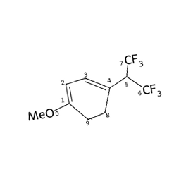 COC1=CC=C(C(C(F)(F)F)C(F)(F)F)C[CH]1